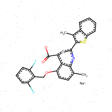 Cc1c(-c2cc(C(=O)[O-])c3c(OCc4c(F)cccc4F)ccc(C)c3n2)sc2ccccc12.[Na+]